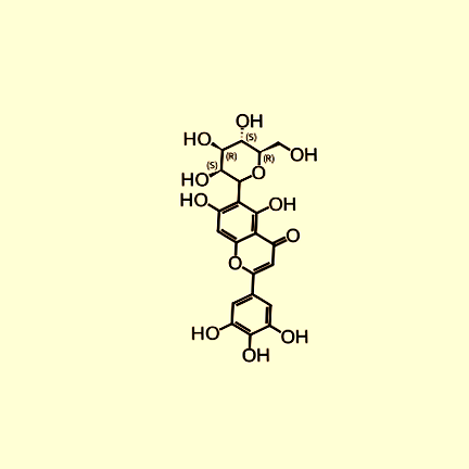 O=c1cc(-c2cc(O)c(O)c(O)c2)oc2cc(O)c(C3O[C@H](CO)[C@@H](O)[C@H](O)[C@@H]3O)c(O)c12